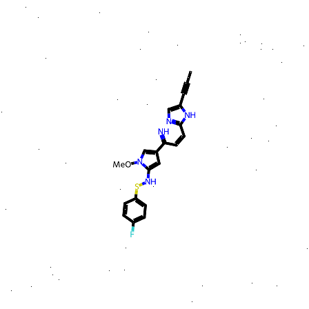 CC#Cc1cnc(/C=C\C(=N)c2cc(NSc3ccc(F)cc3)n(OC)c2)[nH]1